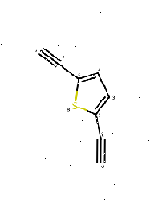 C#Cc1ccc(C#C)s1